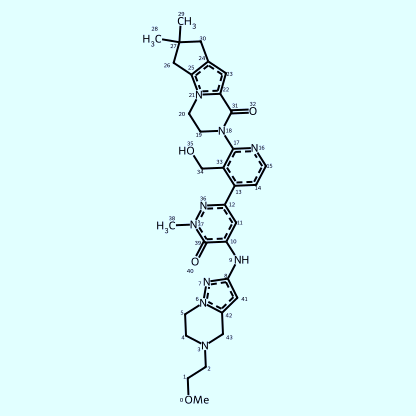 COCCN1CCn2nc(Nc3cc(-c4ccnc(N5CCn6c(cc7c6CC(C)(C)C7)C5=O)c4CO)nn(C)c3=O)cc2C1